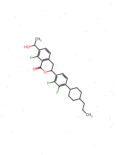 CCCC1CCC(c2ccc(C3Cc4ccc(C(C)O)c(F)c4C(=O)O3)c(F)c2F)CC1